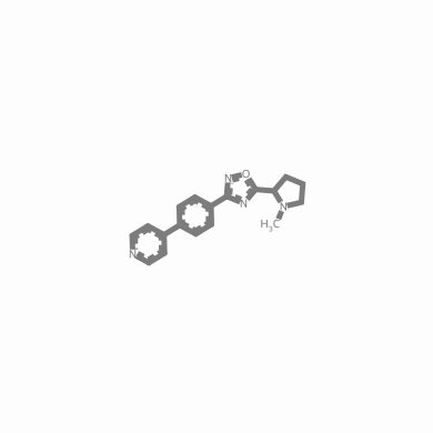 CN1CCCC1c1nc(-c2ccc(-c3ccncc3)cc2)no1